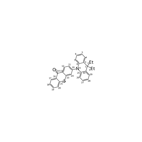 CCC1(CC)c2ccccc2N(c2ccc3c(=O)c4ccccc4sc3c2)c2ccccc21